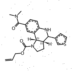 C=CCOC(=O)N1CC[C@H]2C(c3ccsc3)Nc3ccc(C(=O)N(C)C)cc3[C@H]21